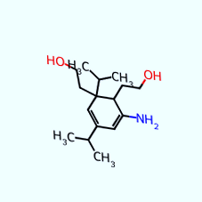 CC(C)C1=CC(CCO)(C(C)C)C(CCO)C(N)=C1